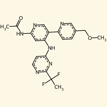 COCc1ccc(-c2cnc(NC(C)=O)cc2Nc2ccnc(C(C)(F)F)n2)nc1